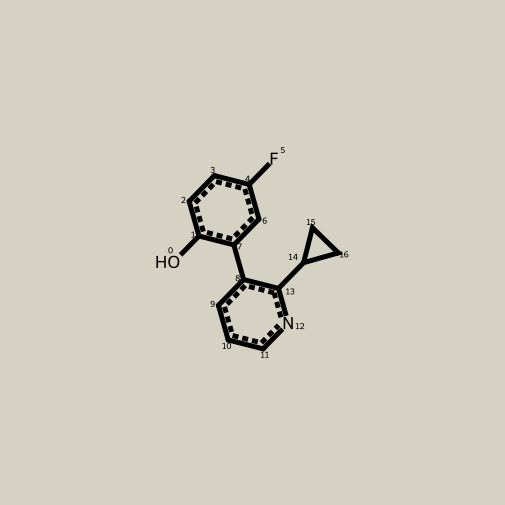 Oc1ccc(F)cc1-c1cccnc1C1CC1